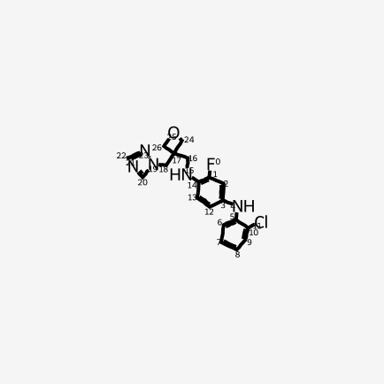 Fc1cc(Nc2ccccc2Cl)ccc1NCC1(Cn2cncn2)COC1